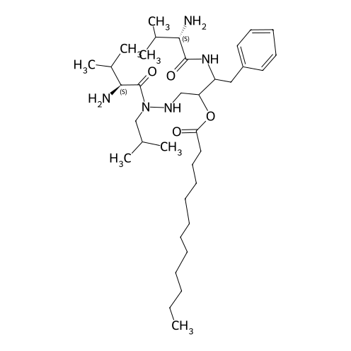 CCCCCCCCCCCC(=O)OC(CNN(CC(C)C)C(=O)[C@@H](N)C(C)C)C(Cc1ccccc1)NC(=O)[C@@H](N)C(C)C